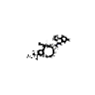 COC(=O)Nc1ccc2c(c1)NCCCCC[C@H](NC(=O)/C=C/c1cc(Cl)ccc1-n1cnnn1)c1nc-2c(Br)[nH]1